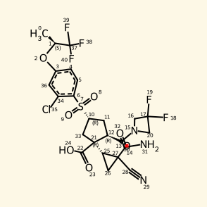 C[C@H](Oc1ccc(S(=O)(=O)[C@@H]2C[C@@H](C(=O)N3CC(F)(F)C3)[C@](C(=O)O)(C3CC3(C#N)C(N)=O)C2)c(Cl)c1)C(F)(F)F